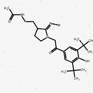 CC(=O)NCCC1CCN(CC(=O)c2cc(C(C)(C)C)c(O)c(C(C)(C)C)c2)/C1=N\Br